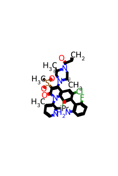 C=CC(=O)N1C[C@H](C)N(c2c(S(C)(=O)=O)c(=O)n(-c3c(C)ccnc3C(C)C)c3c(F)c(-c4c(N)cccc4F)c(Cl)cc23)C[C@H]1C